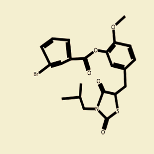 COc1ccc(CC2SC(=O)N(CC(C)C)C2=O)cc1OC(=O)c1cccc(Br)c1